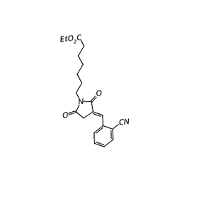 CCOC(=O)CCCCCCN1C(=O)C/C(=C\c2ccccc2C#N)C1=O